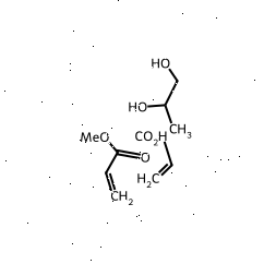 C=CC(=O)O.C=CC(=O)OC.CC(O)CO